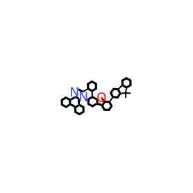 CC1(C)c2ccccc2-c2ccc(-c3cccc4c3oc3c(-c5ccccc5-c5cnc6c7ccccc7c7ccccc7c6n5)cccc34)cc21